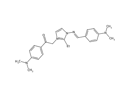 CCc1n(N=Cc2ccc(N(C)C)cc2)cc[n+]1CC(=O)c1ccc(N(C)C)cc1